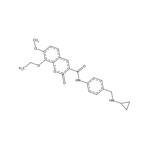 CCOc1c(OC)ccc2cc(C(=O)Nc3ccc(CNC4CC4)cc3)c(=O)oc12